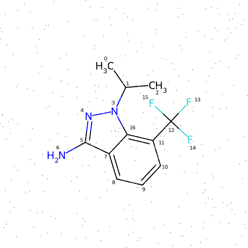 CC(C)n1nc(N)c2cccc(C(F)(F)F)c21